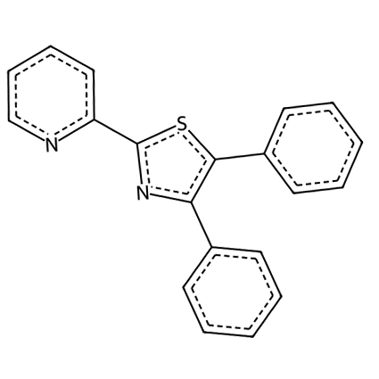 c1ccc(-c2nc(-c3ccccn3)sc2-c2ccccc2)cc1